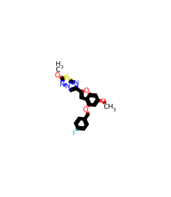 COc1cc(OCc2ccc(F)cc2)c2cc(-c3cn4nc(OC)sc4n3)oc2c1